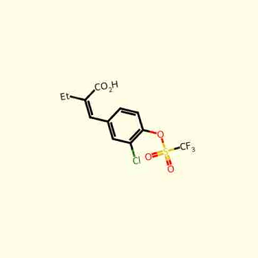 CCC(=Cc1ccc(OS(=O)(=O)C(F)(F)F)c(Cl)c1)C(=O)O